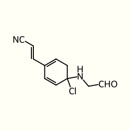 N#CC=CC1=CCC(Cl)(NCC=O)C=C1